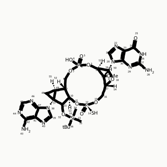 CO[C@H]1[C@H]2OP(=O)(O)OC[C@@H]3[C@@H](O[P@](=O)(S)OC[C@H]1O[C@H]2n1cnc2c(=O)[nH]c(N)nc21)C(O[Si](C)(C)C(C)(C)C)[C@@]1(n2cnc4c(N)ncnc42)C[C@@H]31